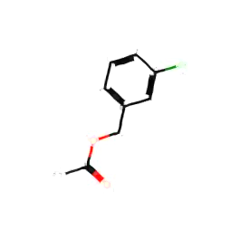 CC(C)C(=O)OCc1cccc(Cl)c1